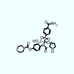 C[C@@](C(=O)O)(N(C(=O)[C@@H]1CCCN1)c1ccc(OC(=O)N2CCSCC2)cc1)S(=O)(=O)c1ccc(C(N)=O)cc1